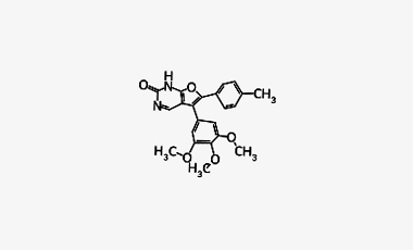 COc1cc(-c2c(-c3ccc(C)cc3)oc3[nH]c(=O)ncc23)cc(OC)c1OC